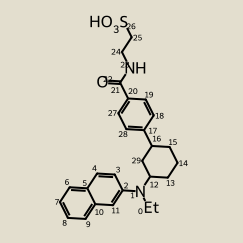 CCN(c1ccc2ccccc2c1)C1CCCC(c2ccc(C(=O)NCCS(=O)(=O)O)cc2)C1